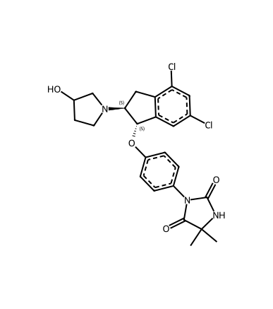 CC1(C)NC(=O)N(c2ccc(O[C@H]3c4cc(Cl)cc(Cl)c4C[C@@H]3N3CCC(O)C3)cc2)C1=O